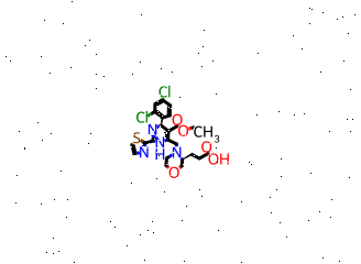 CCOC(=O)C1=C(CN2CCOC[C@@H]2CCC(=O)O)NC(c2nccs2)=N[C@H]1c1ccc(Cl)cc1Cl